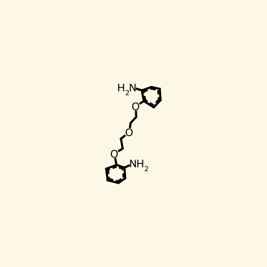 Nc1ccccc1OCCOCCOc1ccccc1N